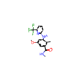 CNC(=O)c1cc(OC)cc(Nc2cccc(C(F)(F)F)n2)c1C